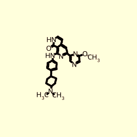 COc1cncc(-c2cc3cc[nH]c(=O)c3c(Nc3ccc(C4CCC(N(C)C)CC4)cc3)n2)n1